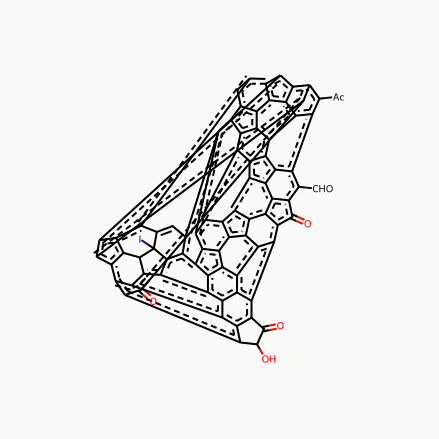 CC(=O)c1c2c3c(=O)c4c5c6c(c7c8c9c(=O)c%10c(C=O)c%11c1c1c%12c2c2c%13c%14cc%15c%16c%17c%18c%19c%20c%21c%22c(c4c4c%23c(c%14C(=C%18)C%20(I)C%22%23)c2c43)c6c2c%21c3c%19c4c%17c6c%14c%16c(c%15c%13%12)c1c1c%11c%11c%10c9c9c%10c8c(c72)c3c4c%10c6c9c%11c1%14)C(=O)C5O